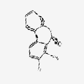 Cc1c(Cl)ccc2c1c(=O)oc1ccccc12